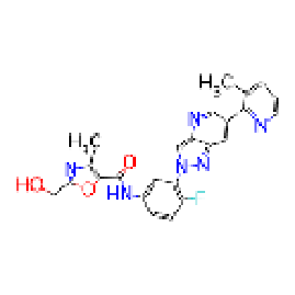 Cc1cccnc1-c1cnc2cn(-c3cc(NC(=O)c4oc(CO)nc4C)ccc3F)nc2c1